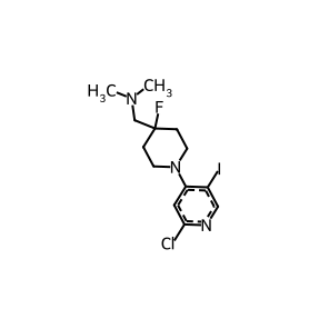 CN(C)CC1(F)CCN(c2cc(Cl)ncc2I)CC1